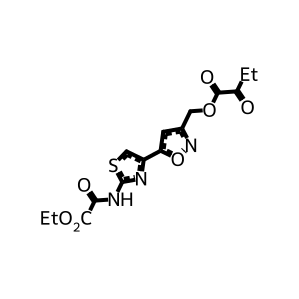 CCOC(=O)C(=O)Nc1nc(-c2cc(COC(=O)C(=O)CC)no2)cs1